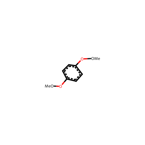 COOc1ccc(OOC)cc1